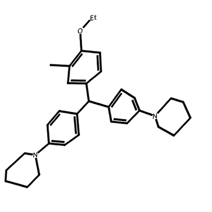 CCOc1ccc(C(c2ccc(N3CCCCC3)cc2)c2ccc(N3CCCCC3)cc2)cc1C